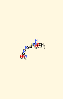 COC(=O)c1ccc(N2CCC(CN3CCC(c4cccc(SN5CCC(NC(=O)OC(C)(C)C)CC5)c4)CC3)CC2)cc1C#N